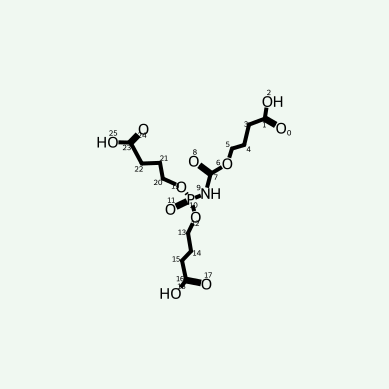 O=C(O)CCCOC(=O)NP(=O)(OCCCC(=O)O)OCCCC(=O)O